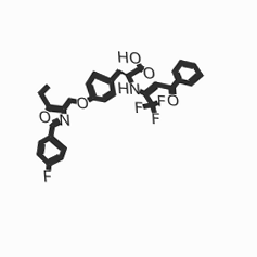 CCc1oc(-c2ccc(F)cc2)nc1COc1ccc(C[C@H](N/C(=C/C(=O)c2ccccc2)C(F)(F)F)C(=O)O)cc1